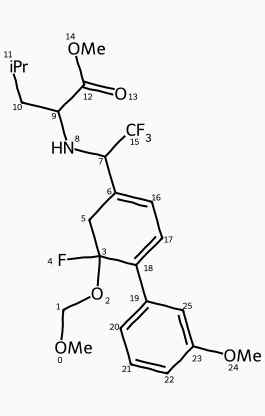 COCOC1(F)CC(C(NC(CC(C)C)C(=O)OC)C(F)(F)F)=CC=C1c1cccc(OC)c1